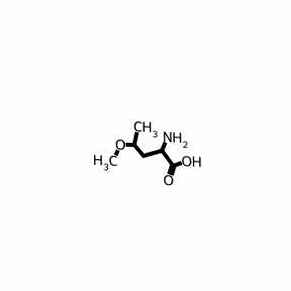 COC(C)CC(N)C(=O)O